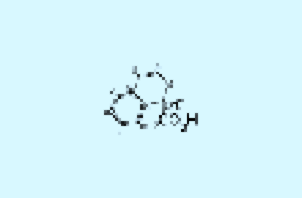 O=C(O)C1(Cl)CC=Cc2ccccc21